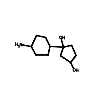 NC1CCC(C2(O)CCC(O)C2)CC1